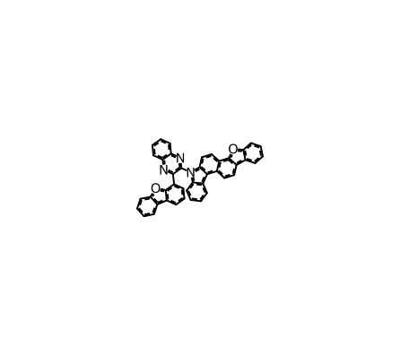 c1ccc2nc(-n3c4ccccc4c4c5ccc6c7ccccc7oc6c5ccc43)c(-c3cccc4c3oc3ccccc34)nc2c1